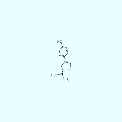 CN(C)C1CCN(c2ccc(C#N)cc2)C1